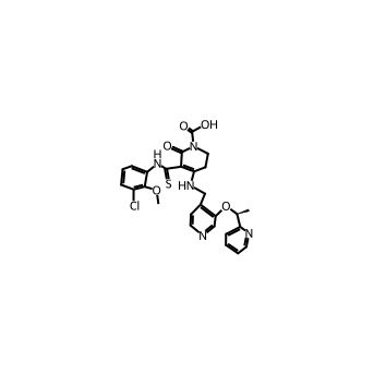 COc1c(Cl)cccc1NC(=S)C1=C(NCc2ccncc2O[C@@H](C)c2ccccn2)CCN(C(=O)O)C1=O